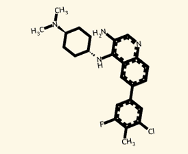 Cc1c(F)cc(-c2ccc3ncc(N)c(N[C@H]4CC[C@H](N(C)C)CC4)c3c2)cc1Cl